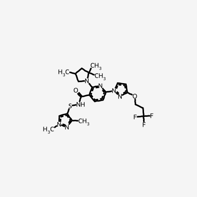 Cc1nn(C)cc1SNC(=O)c1ccc(-n2ccc(OCCC(F)(F)F)n2)nc1N1CC(C)CC1(C)C